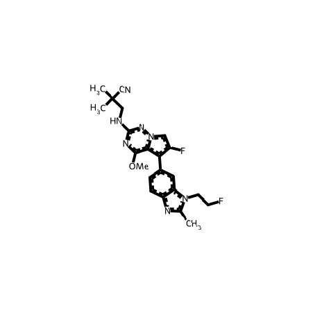 COc1nc(NCC(C)(C)C#N)nn2cc(F)c(-c3ccc4nc(C)n(CCF)c4c3)c12